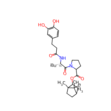 CCC(C)[C@H](NC(=O)CCc1ccc(O)c(O)c1)C(=O)N1CCCC1C(=O)OC1CC2CCC1(C)C2(C)C